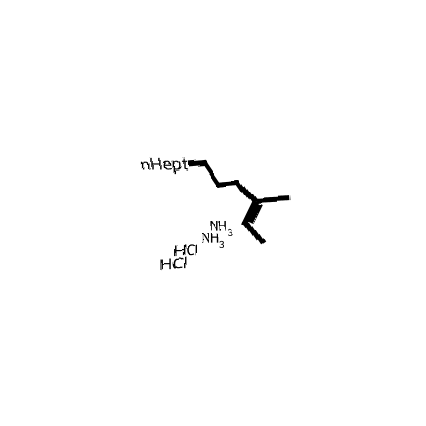 CC=C(C)CCCCCCCCCC.Cl.Cl.N.N